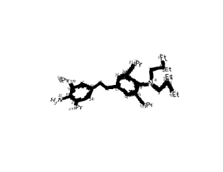 CCC(CC)CN(CC(CC)CC)c1c(C(C)C)cc(CCc2cc(C(C)C)c(N)c(C(C)C)c2)cc1C(C)C